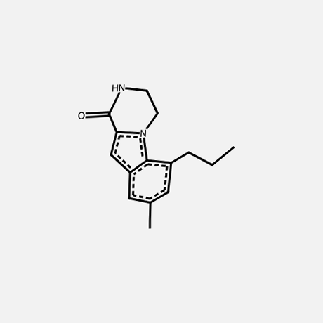 CCCc1cc(C)cc2cc3n(c12)CCNC3=O